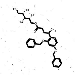 CC(CCC(=O)OC[C@@H](O)[C@H](O)[C@@H](O)CO)c1ccc(OCc2ccccc2)cc1OCc1ccccc1